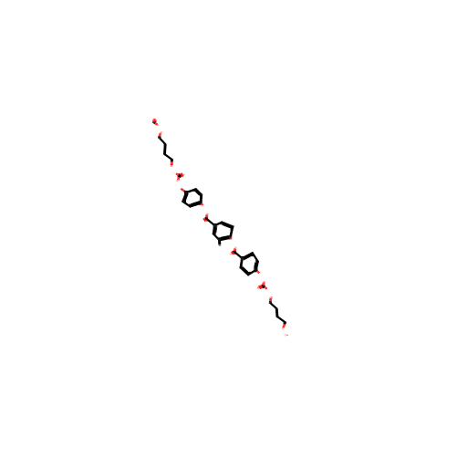 COCCCCOC(=O)Oc1ccc(C(=O)Oc2ccc(C(=O)Oc3ccc(OC(=O)OCCCCOC=O)cc3)cc2C)cc1